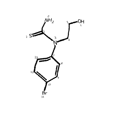 NC(=S)N(CCO)c1ccc(Br)cc1